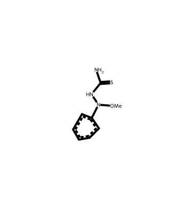 CON(NC(N)=S)c1ccccc1